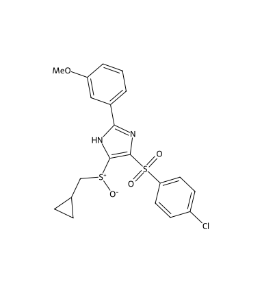 COc1cccc(-c2nc(S(=O)(=O)c3ccc(Cl)cc3)c([S+]([O-])CC3CC3)[nH]2)c1